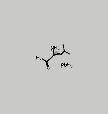 CC(C)C[C@H](N)C(=O)O.[PbH2]